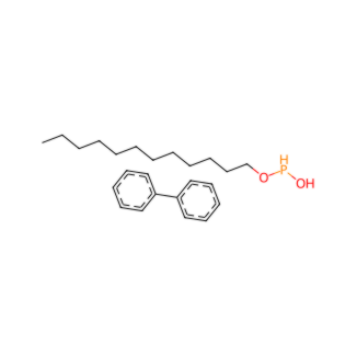 CCCCCCCCCCCCOPO.c1ccc(-c2ccccc2)cc1